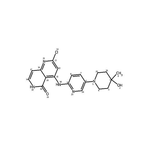 CC1(O)CCN(c2ccc(Nc3cc(Cl)nc4cc[nH]c(=O)c34)nc2)CC1